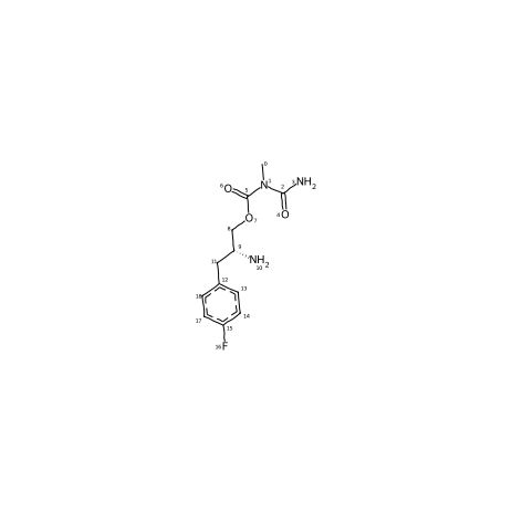 CN(C(N)=O)C(=O)OC[C@H](N)Cc1ccc(F)cc1